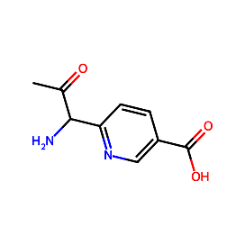 CC(=O)C(N)c1ccc(C(=O)O)cn1